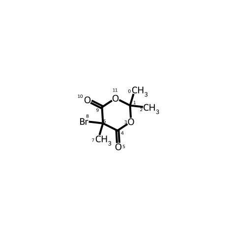 CC1(C)OC(=O)C(C)(Br)C(=O)O1